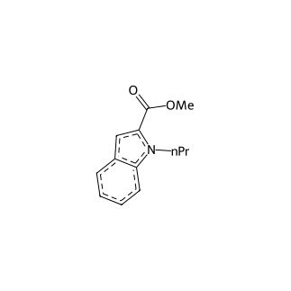 CCCn1c(C(=O)OC)cc2ccccc21